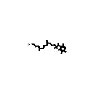 Cc1cc(C)c2c(c1C)OC(C)(CCCC(C)CCCC(C)CCCC(C)C)C2C